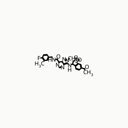 CC(=O)c1ccc2c(c1)S(=O)(=O)CC2Nc1c2ncnc(C(=O)NCc3ccc(F)c(C)c3)c2nn1C